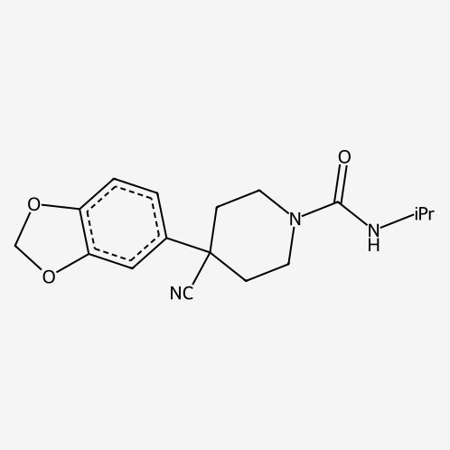 CC(C)NC(=O)N1CCC(C#N)(c2ccc3c(c2)OCO3)CC1